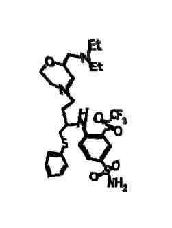 CCN(CC)CC1CN(CCC(CSc2ccccc2)Nc2ccc(S(N)(=O)=O)cc2S(=O)(=O)C(F)(F)F)CCO1